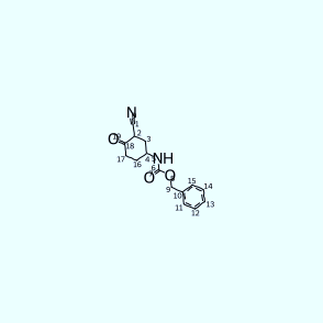 N#CC1CC(NC(=O)OCc2ccccc2)CCC1=O